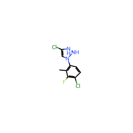 Cc1c(N2C=C(Cl)NN2)ccc(Cl)c1F